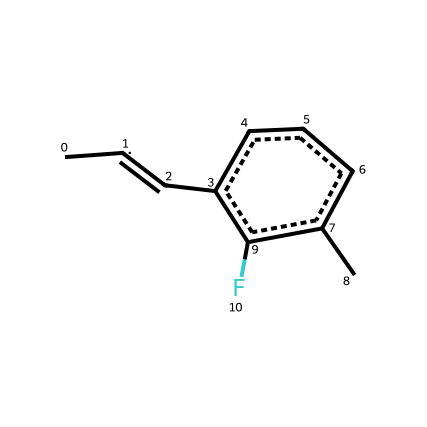 C[C]=Cc1cccc(C)c1F